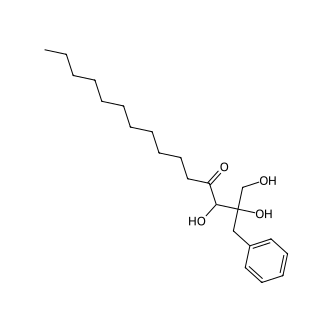 CCCCCCCCCCCC(=O)C(O)C(O)(CO)Cc1ccccc1